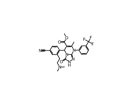 COC(=O)C1=C(C)N(c2cccc(C(F)(F)F)c2)c2n[nH]c(=O)n2C1c1ccc(C#N)cc1CCN(C)C